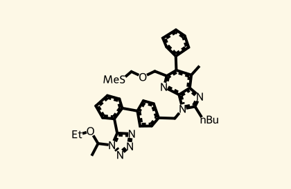 CCCCc1nc2c(C)c(-c3ccccc3)c(COCSC)nc2n1Cc1ccc(-c2ccccc2-c2nnnn2C(C)OCC)cc1